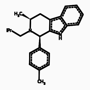 Cc1ccc([C@@H]2c3[nH]c4ccccc4c3C[C@@H](C)N2CC(C)C)cc1